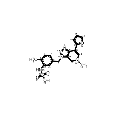 Cc1ccc(Cn2nnc3c2CN(N)C=C3c2ccco2)cc1NS(=O)(=O)O